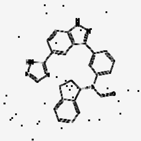 O=CN(c1cccc(-c2n[nH]c3ccc(-c4ncn[nH]4)cc23)c1)[C@H]1CCc2ccccc21